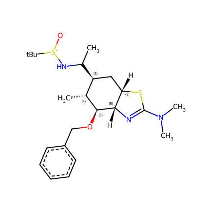 CC(N[S+]([O-])C(C)(C)C)[C@H]1C[C@@H]2SC(N(C)C)=N[C@@H]2[C@@H](OCc2ccccc2)[C@@H]1C